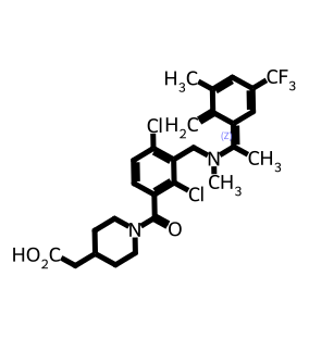 C=c1c(C)cc(C(F)(F)F)c/c1=C(\C)N(C)Cc1c(Cl)ccc(C(=O)N2CCC(CC(=O)O)CC2)c1Cl